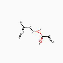 C=C=C(C)CCOC(=O)C=C